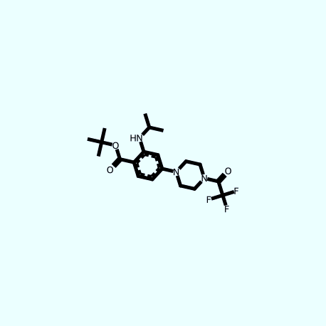 CC(C)Nc1cc(N2CCN(C(=O)C(F)(F)F)CC2)ccc1C(=O)OC(C)(C)C